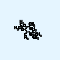 CC(=O)[C@@H]1OC(C)(C)O[C@@H]1[C@H](C)COC(C)(C)C